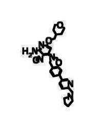 Nc1nc(OCC2CCOCC2)cc(N(C=O)Cc2ccc(-c3ccc(CN4CCCC4)nc3)cc2)c1N=O